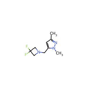 Cc1cc(CN2CC(F)(F)C2)n(C)n1